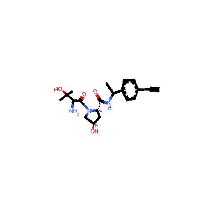 C#Cc1ccc(C(C)NC(=O)[C@@H]2C[C@@H](O)CN2C(=O)C(N)C(C)(C)O)cc1